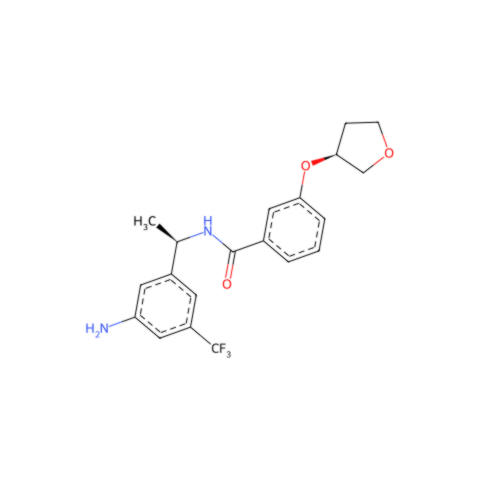 C[C@@H](NC(=O)c1cccc(O[C@H]2CCOC2)c1)c1cc(N)cc(C(F)(F)F)c1